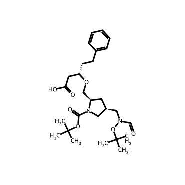 CC(C)(C)OC(=O)N1C[C@H](CN(C=O)OC(C)(C)C)C[C@@H]1CO[C@@H](CCc1ccccc1)CC(=O)O